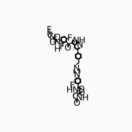 O=C1CCC(NC(=O)c2ccc(N3CCN(CCc4ccc(-c5cnc6[nH]cc(C(=O)c7c(F)ccc(NS(=O)(=O)N8CC[C@@H](F)C8)c7F)c6c5)cc4)CC3)cc2F)C(=O)N1